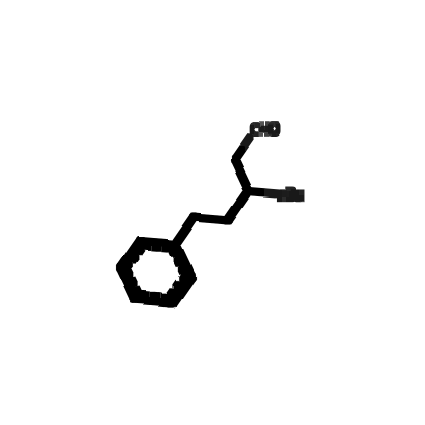 CCCCC(CC=O)CCc1ccccc1